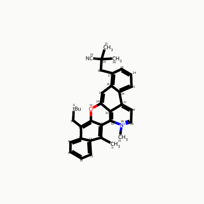 Cc1c2c(c(CC(C)(C)C)c3ccccc13)Oc1cc3c(CC(C)(C)C#N)cccc3c3cc[n+](C)c-2c13